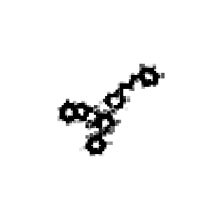 O=c1c(OC2Cc3ccccc3C2)c(N2CCN(CCCc3ccccc3)CC2)cnn1-c1ccccc1